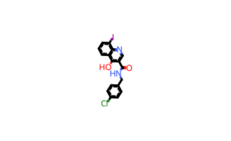 O=C(NCc1ccc(Cl)cc1)c1cnc2c(I)cccc2c1O